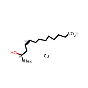 CCCCCC[C@@H](O)C/C=C\CCCCCCCC(=O)O.[Cu]